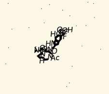 CC(=O)N1CC[C@H]2CC[C@@H](C(=O)N(C)C)N2C(=O)[C@@H](NC(=O)c2cc3cc(C(F)(F)P(=O)(O)O)ccc3[nH]2)C1